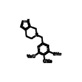 COc1cc(CN2CCc3ccsc3C2)cc(OC)c1OC